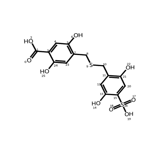 O=C(O)c1cc(O)c(CSCc2cc(O)c(S(=O)(=O)O)cc2O)cc1O